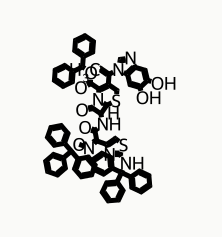 C/C=C(\C1=C(C(=O)OC(c2ccccc2)c2ccccc2)N2C(=O)C(NC(=O)/C(=N\OC(c3ccccc3)(c3ccccc3)c3ccccc3)c3csc(NC(c4ccccc4)(c4ccccc4)c4ccccc4)n3)[C@H]2SC1)n1cnc2cc(O)c(O)cc21